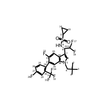 CC(C)(C)Cn1cc([C@H](NS(=O)(=O)C2CC2)C(F)F)c2cc(F)c(-c3ccc(F)cc3C(F)(F)F)cc21